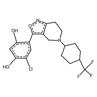 Oc1cc(O)c(-c2onc3c2CN(C2CCC(C(F)(F)F)CC2)CC3)cc1Cl